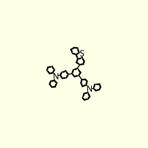 c1ccc(N(c2ccccc2)c2ccc(-c3cc(-c4ccc(N(c5ccccc5)c5ccccc5)cc4)cc(-c4ccc5sc6ccccc6c5c4)c3)cc2)cc1